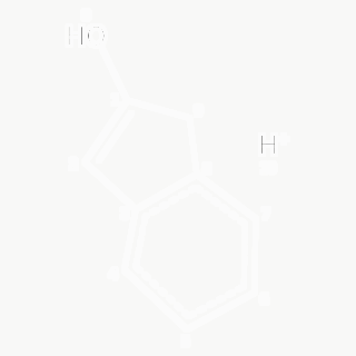 OC1=Cc2ccccc2C1.[H+]